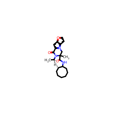 CC(C)N1C(=O)c2cc3occc3n2CC1(C)C(=O)NC1CCCCCCC1